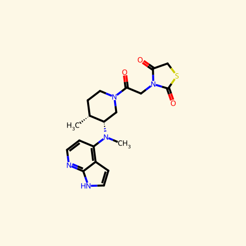 C[C@@H]1CCN(C(=O)CN2C(=O)CSC2=O)C[C@@H]1N(C)c1ccnc2[nH]ccc12